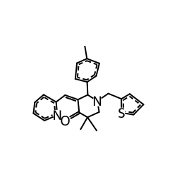 Cc1ccc(C2C(=Cc3ccccn3)C(=O)C(C)(C)CN2Cc2cccs2)cc1